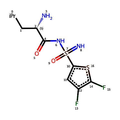 CC(C)C[C@H](N)C(=O)NS(=N)(=O)c1cc(F)c(F)s1